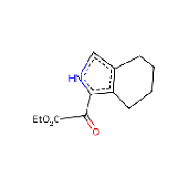 CCOC(=O)C(=O)c1[nH]cc2c1CCCC2